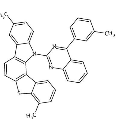 Cc1cccc(-c2nc(-n3c4ccc(C)cc4c4ccc5sc6c(C)cccc6c5c43)nc3ccccc23)c1